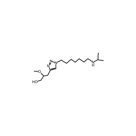 COC(CO)Cc1cn(CCCCCCCNC(C)C)nn1